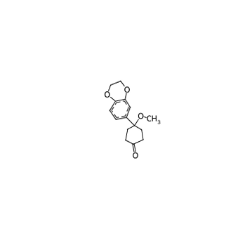 COC1(c2ccc3c(c2)OCCO3)CCC(=O)CC1